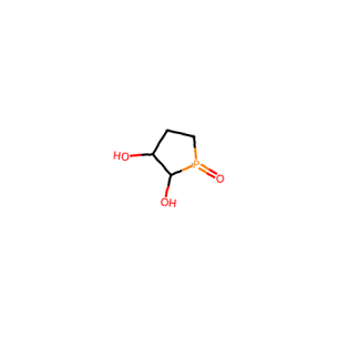 O=[P]1CCC(O)C1O